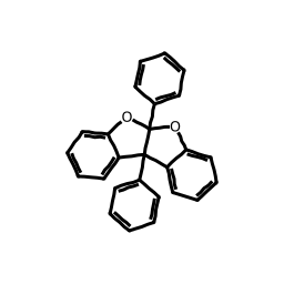 c1ccc(C23Oc4ccccc4C2(c2ccccc2)c2ccccc2O3)cc1